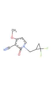 COc1ccn(CC2CC2(F)F)c(=O)c1C#N